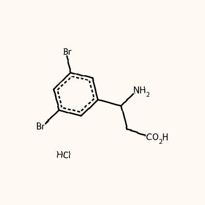 Cl.NC(CC(=O)O)c1cc(Br)cc(Br)c1